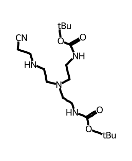 CC(C)(C)OC(=O)NCCN(CCNCCC#N)CCNC(=O)OC(C)(C)C